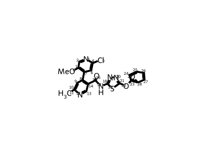 COc1cnc(Cl)cc1-c1cc(C)ncc1C(=O)Nc1nnc(Oc2cc3ccc2o3)s1